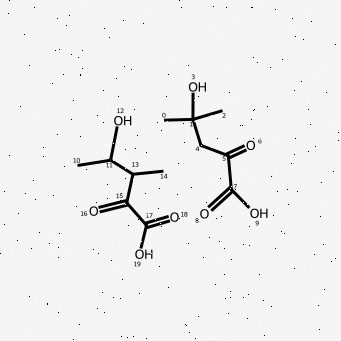 CC(C)(O)CC(=O)C(=O)O.CC(O)C(C)C(=O)C(=O)O